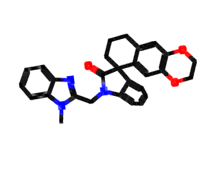 Cn1c(CN2C(=O)C3(CCCc4cc5c(cc43)OCCO5)c3ccccc32)nc2ccccc21